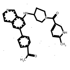 CC(=O)c1ccc(-c2cc(NC3CCN(C(=O)C4=CC=C(C)NC4)CC3)c3cnccc3c2)cc1